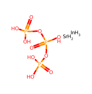 O=P(O)(O)OP(=O)(O)OP(=O)(O)O.[InH3].[SrH2]